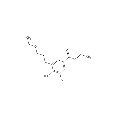 CCOCCCc1cc(C(=O)OCC)cc(Br)c1C